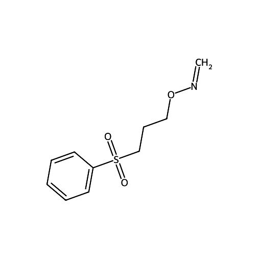 C=NOCCCS(=O)(=O)c1ccccc1